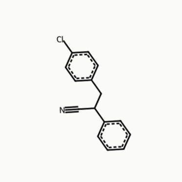 N#CC(Cc1ccc(Cl)cc1)c1ccccc1